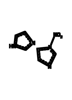 O=[N+]([O-])n1ccnc1.c1c[nH]cn1